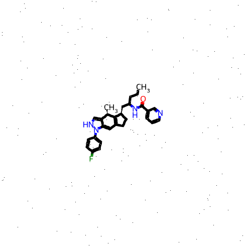 CCCC(C[C@H]1CCC2=C1[C@@H](C)C1=CNN(c3ccc(F)cc3)C1=C2)NC(=O)c1cccnc1